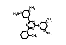 CC1CCCCN1c1nc(N2C[C@H](N)C[C@H](N)C2)nc(N2C[C@H](N)C[C@H](N)C2)n1